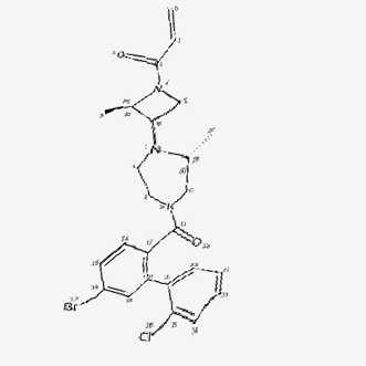 C=CC(=O)N1CC(N2CCN(C(=O)c3ccc(Br)cc3-c3ccccc3Cl)C[C@H]2C)[C@H]1C